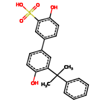 CC(C)(c1ccccc1)c1cc(-c2ccc(O)c(S(=O)(=O)O)c2)ccc1O